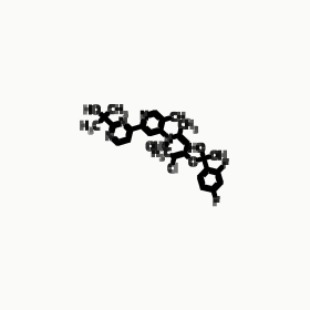 C/C(=C/C(OC(O)(O)c1ccc(F)cc1F)=C(\C)Cl)N(C=O)c1cc(-c2ccnc(C(C)(C)O)n2)ncc1C